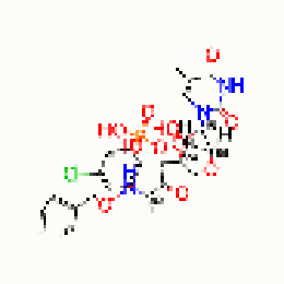 Cc1cn([C@@H]2O[C@@]3(C(OP(=O)(O)O)(C(=O)[C@H](C)NOCc4ccccc4)c4ccc(Cl)cc4)CO[C@H]2[C@H]3O)c(=O)[nH]c1=O